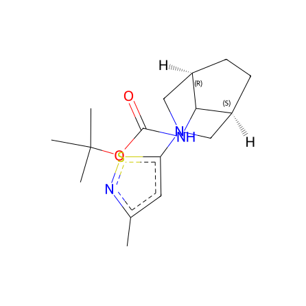 Cc1cc(N2C[C@H]3CC[C@@H](C2)C3NC(=O)OC(C)(C)C)sn1